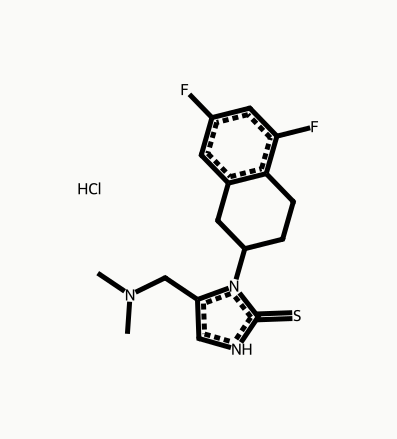 CN(C)Cc1c[nH]c(=S)n1C1CCc2c(F)cc(F)cc2C1.Cl